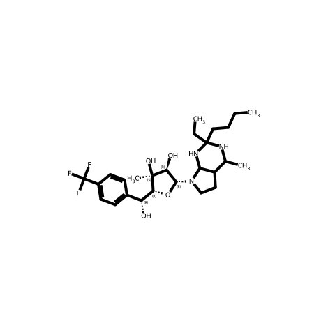 CCCCC1(CC)NC(C)C2CCN([C@@H]3O[C@H]([C@H](O)c4ccc(C(F)(F)F)cc4)[C@@](C)(O)[C@H]3O)C2N1